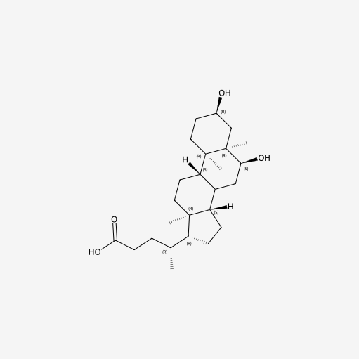 C[C@H](CCC(=O)O)[C@H]1CC[C@H]2C3C[C@H](O)[C@]4(C)C[C@H](O)CC[C@]4(C)[C@H]3CC[C@]12C